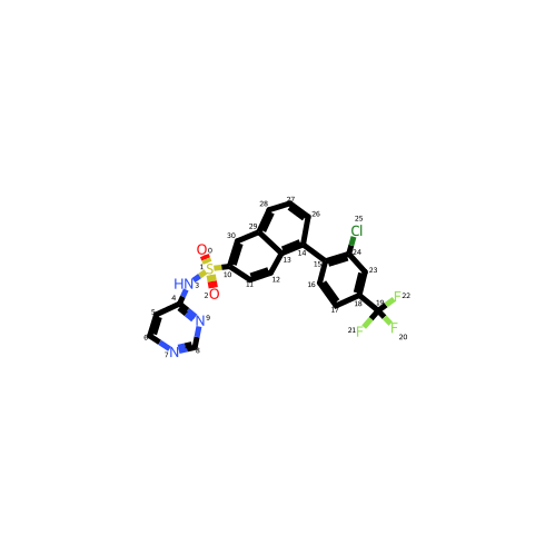 O=S(=O)(Nc1ccncn1)c1ccc2c(-c3ccc(C(F)(F)F)cc3Cl)cccc2c1